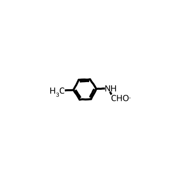 Cc1ccc(N[C]=O)cc1